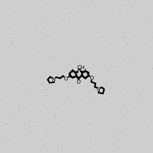 Cn1c2ccc(OCCCN3CCCC3)cc2c(=O)c2cc(OCCCN3CCCC3)ccc21